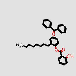 CCCCCCCCc1ccccc1OC(=O)c1ccccc1O.O=C(c1ccccc1)c1ccccc1